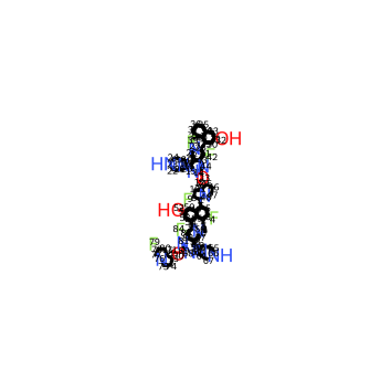 C#Cc1c(F)cc(C2[C@H](F)C[C@]3(COc4nc(N5C6CCC5CNC6)c5cnc(-c6cc(O)cc7cccc(F)c67)c(F)c5n4)CCCN23)c2cc(O)cc(-c3ncc4c(N5C6CCC5CNC6)nc(OC[C@@]56CCCN5C[C@H](F)C6)nc4c3F)c12